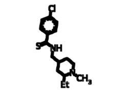 CCC1CC(CNC(=S)c2ccc(Cl)cc2)CCN1C